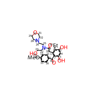 CCc1c(O)cc(O)c(C(=O)c2ccc(OC)cc2)c1CC(=O)N(CCO)CCN1CCOCC1